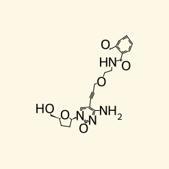 Nc1nc(=O)n([C@H]2CC[C@@H](CO)O2)cc1C#CCOCCNC(=O)c1ccccc1C=O